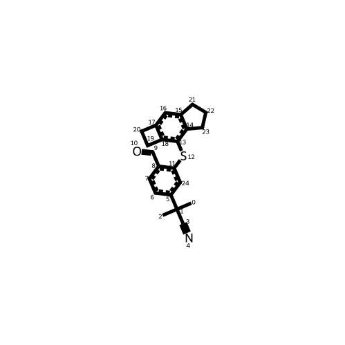 CC(C)(C#N)c1ccc(C=O)c(Sc2c3c(cc4c2CC4)CCC3)c1